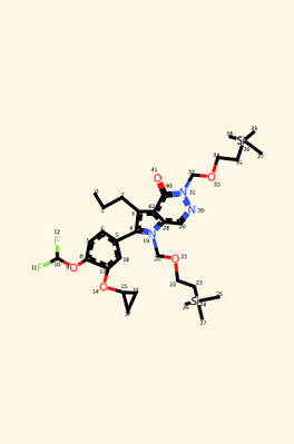 CCCc1c(-c2ccc(OC(F)F)c(OC3CC3)c2)n(COCC[Si](C)(C)C)c2cnn(COCC[Si](C)(C)C)c(=O)c12